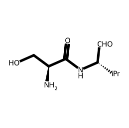 CC(C)[C@@H](C=O)NC(=O)[C@@H](N)CO